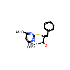 COC(=O)C(=Cc1ccccc1)Sc1nc(OC)cc(OC)n1